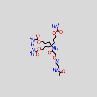 CNC(=O)OCCCC(CCCOC(=O)NC)(CCCOC(=O)NC)NC(=O)CO/N=C/CNC(C)=O